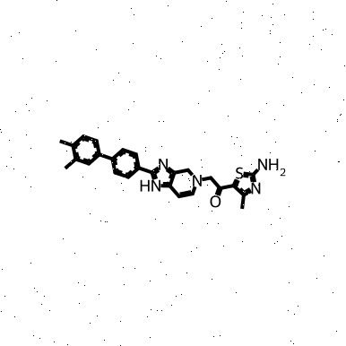 Cc1ccc(-c2ccc(-c3nc4c([nH]3)C=CN(CC(=O)c3sc(N)nc3C)C4)cc2)cc1C